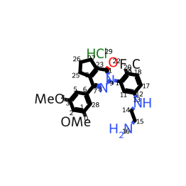 COc1cc(OC)cc(-c2nn(-c3cc(NCCN)ccc3C(F)(F)F)c(=O)c3c2CCC3)c1.Cl